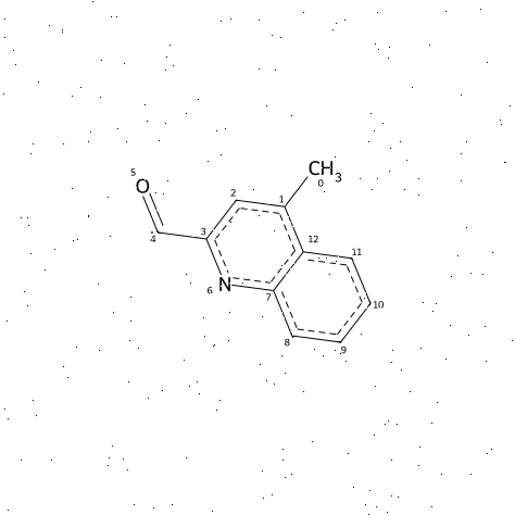 Cc1cc([C]=O)nc2ccccc12